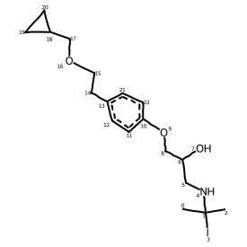 CC(C)(I)NCC(O)COc1ccc(CCOCC2CC2)cc1